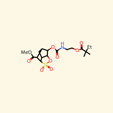 CCC(C)(C)C(=O)OCCNC(=O)OC1C2CC3C1OS(=O)(=O)C3C2C(=O)OC